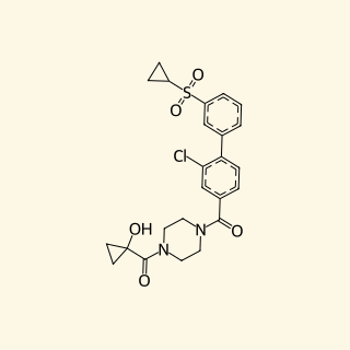 O=C(c1ccc(-c2cccc(S(=O)(=O)C3CC3)c2)c(Cl)c1)N1CCN(C(=O)C2(O)CC2)CC1